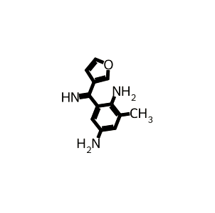 Cc1cc(N)cc(C(=N)c2ccoc2)c1N